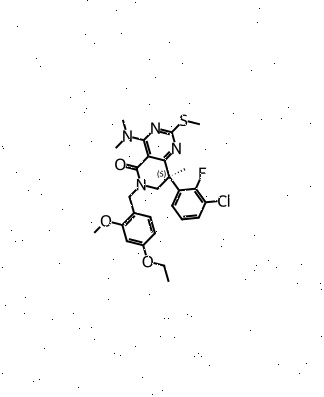 CCOc1ccc(CN2C[C@](C)(c3cccc(Cl)c3F)c3nc(SC)nc(N(C)C)c3C2=O)c(OC)c1